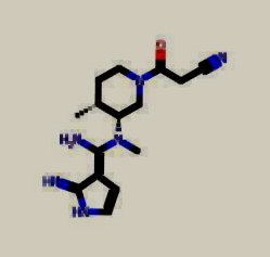 C[C@@H]1CCN(C(=O)CC#N)C[C@@H]1N(C)/C(N)=C1\C=CNC1=N